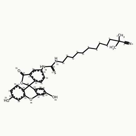 CC(C)(C#N)CCCCCCCCCCNC(=S)Nc1ccc2c(c1)C(=O)OC21c2ccc(O)cc2Oc2cc(O)ccc21